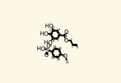 C=CCOC(=O)c1cc(O)c(O)c(O)c1.COc1ccc(S(=O)(=O)O)cc1